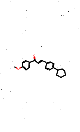 COc1ccc(C(=O)C=Cc2ccc(C3CCCCC3)cc2)cc1